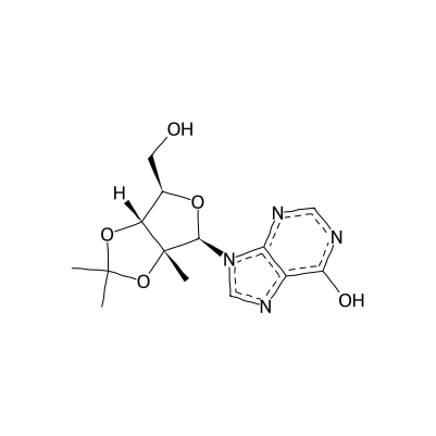 CC1(C)O[C@@H]2[C@@H](CO)O[C@@H](n3cnc4c(O)ncnc43)[C@]2(C)O1